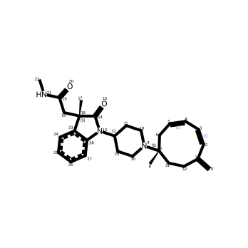 C=C1/C=C\C=C/C[C@@](C)(N2CCC(N3C(=O)[C@@](C)(CC(=O)NC)c4ccccc43)CC2)CC1